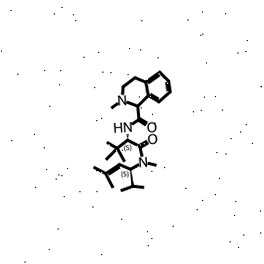 CC(C)=C[C@H](C(C)C)N(C)C(=O)[C@@H](NC(=O)C1c2ccccc2CCN1C)C(C)(C)C